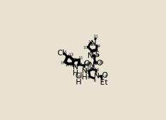 CCC(=O)N1CC[C@H](NC(=O)c2cc3cc(Cl)ccc3[nH]2)[C@H](NC(=O)c2nc3c(s2)CN(C)CC3)C1.Cl